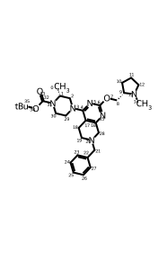 C[C@@H]1CN(c2nc(OC[C@@H]3CCCN3C)nc3c2CCN(Cc2ccccc2)C3)CCN1C(=O)OC(C)(C)C